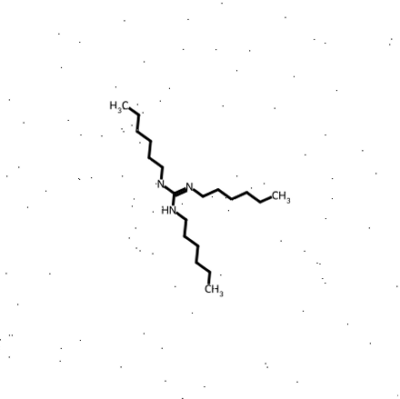 CCCCCC[N]C(=NCCCCCC)NCCCCCC